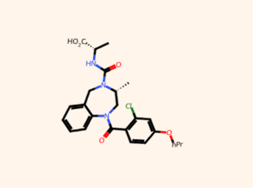 CCCOc1ccc(C(=O)N2C[C@@H](C)N(C(=O)N[C@@H](C)C(=O)O)Cc3ccccc32)c(Cl)c1